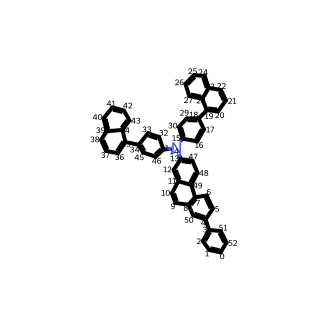 c1ccc(-c2ccc3c(ccc4cc(N(c5ccc(-c6cccc7ccccc67)cc5)c5ccc(-c6cccc7ccccc67)cc5)ccc43)c2)cc1